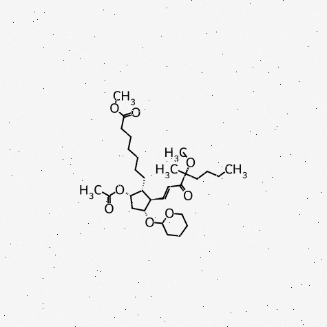 CCCCC(C)(OC)C(=O)/C=C/[C@@H]1[C@@H](CCCCCCC(=O)OC)[C@@H](OC(C)=O)C[C@H]1OC1CCCCO1